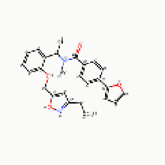 [2H]C(c1ccccc1OCc1cc(CC(=O)O)no1)N(C(=O)c1ccc(-c2ccco2)cc1)C(C)C